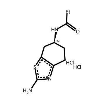 CCC(=O)N[C@H]1CCc2nc(N)sc2C1.Cl.Cl